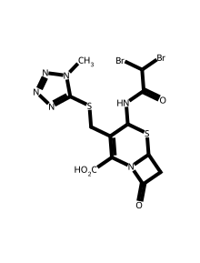 Cn1nnnc1SCC1=C(C(=O)O)N2C(=O)CC2SC1NC(=O)C(Br)Br